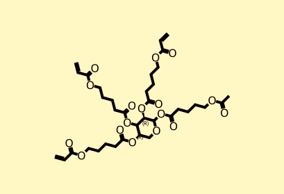 C=CC(=O)OCCCCC(=O)OC1[C@@H](OC(=O)CCCCOC(=O)C=C)C(OC(=O)CCCCOC(C)=O)OC[C@H]1OC(=O)CCCCOC(=O)C=C